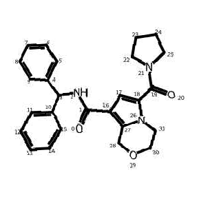 O=C(NC(c1ccccc1)c1ccccc1)c1cc(C(=O)N2CCCC2)n2c1COCC2